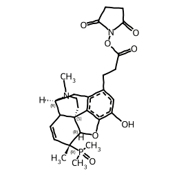 CN1CC[C@]23c4c5c(CCC(=O)ON6C(=O)CCC6=O)cc(O)c4O[C@H]2[C@](C)(P(C)(C)=O)C=CC3[C@H]1C5